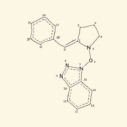 C(=C1CCCN1On1nnc2ccccc21)c1ccccc1